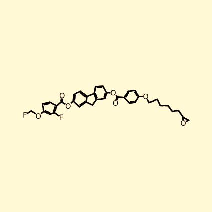 O=C(Oc1ccc2c(c1)Cc1cc(OC(=O)c3ccc(OCF)cc3F)ccc1-2)c1ccc(OCCCCCCC2CO2)cc1